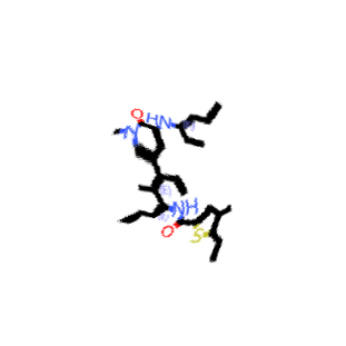 C=C/C=C(\C=C)Nc1cc(/C(C=C)=C(C)/C(=C\C=C)NC(=O)c2cc(C)c(C=C)s2)cn(C)c1=O